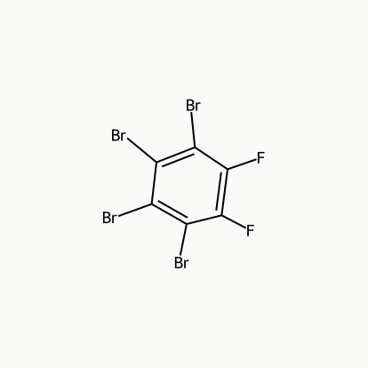 Fc1c(F)c(Br)c(Br)c(Br)c1Br